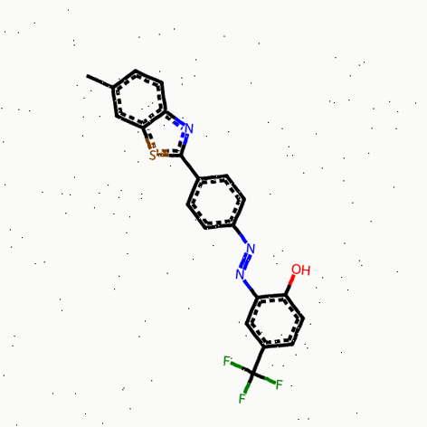 Cc1ccc2nc(-c3ccc(N=Nc4cc(C(F)(F)F)ccc4O)cc3)sc2c1